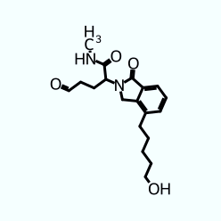 CNC(=O)C(CCC=O)N1Cc2c(CCCCCO)cccc2C1=O